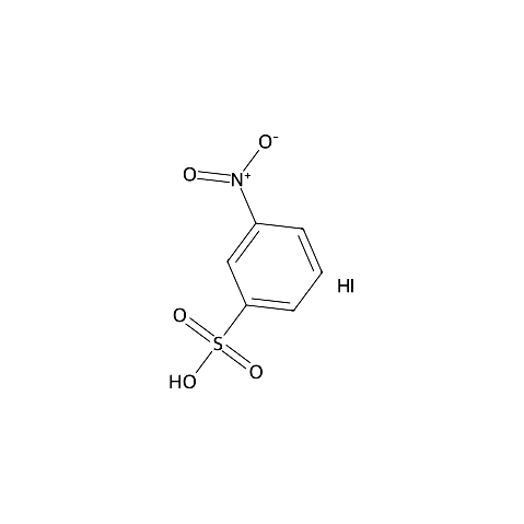 I.O=[N+]([O-])c1cccc(S(=O)(=O)O)c1